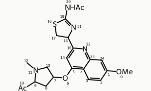 COc1ccc2c(OC3CC(C(C)=O)N(C)C3)cc(C3CSC(NC(C)=O)=N3)nc2c1